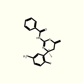 C=C1C[C@@](C)(c2cc(N)ccc2F)N=C(NC(=O)c2ccccc2)S1